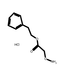 Cl.NOCC(=O)OCCc1ccccc1